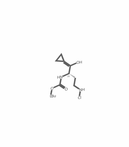 CC(C)(C)OC(=O)N[C@@H](CCNCl)C(O)=C1CC1